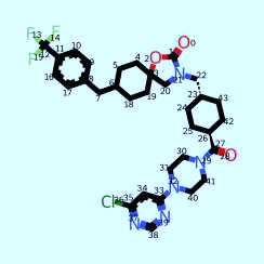 O=C1OC2(CCC(Cc3ccc(C(F)(F)F)cc3)CC2)CN1C[C@H]1CC[C@H](C(=O)N2CCN(c3cc(Cl)ncn3)CC2)CC1